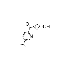 CC(C)c1ccc(C(=O)N2CC(O)C2)nc1